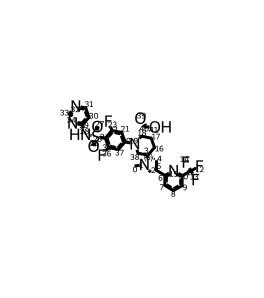 CN(C)[C@]1(CCc2cccc(C(F)(F)F)n2)CCCN(c2cc(F)c(S(=O)(=O)Nc3ccncn3)c(F)c2)C1.O=CO